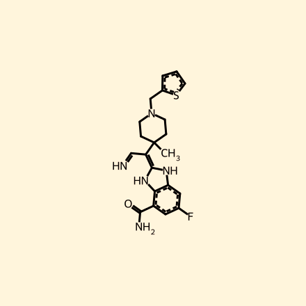 CC1(/C(C=N)=C2\Nc3cc(F)cc(C(N)=O)c3N2)CCN(Cc2cccs2)CC1